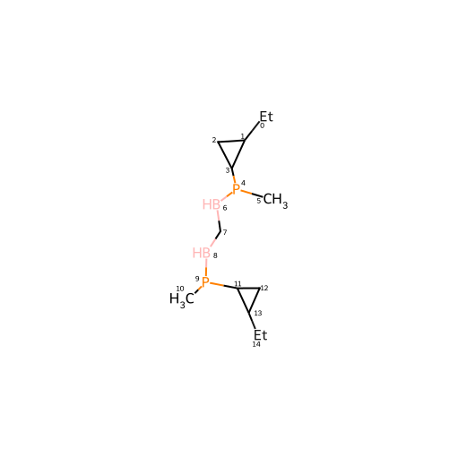 CCC1CC1P(C)BCBP(C)C1CC1CC